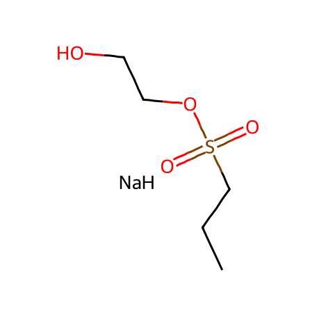 CCCS(=O)(=O)OCCO.[NaH]